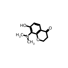 CN(C)c1c(O)ccc2c1OCCC2=O